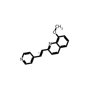 COc1cccc2ccc(/C=C/c3ccncc3)nc12